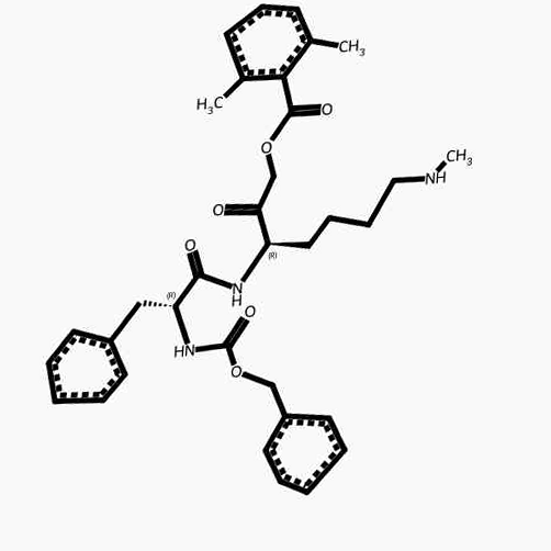 CNCCCC[C@@H](NC(=O)[C@@H](Cc1ccccc1)NC(=O)OCc1ccccc1)C(=O)COC(=O)c1c(C)cccc1C